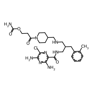 Cc1ccccc1CC(CNCC1CCN(C(=O)CCOC(N)=O)CC1)CNC(=O)c1nc(Cl)c(N)nc1N